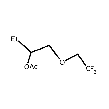 CCC(COCC(F)(F)F)OC(C)=O